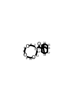 O=C(N1CCOCCOCCOCC1)C12CC3CC(CC(C3)C1)C2